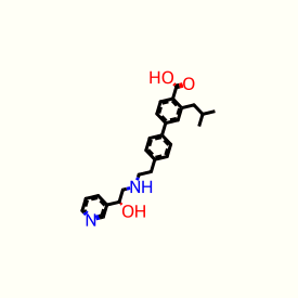 CC(C)Cc1cc(-c2ccc(CCNC[C@@H](O)c3cccnc3)cc2)ccc1C(=O)O